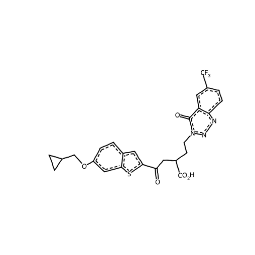 O=C(CC(CCn1nnc2ccc(C(F)(F)F)cc2c1=O)C(=O)O)c1cc2ccc(OCC3CC3)cc2s1